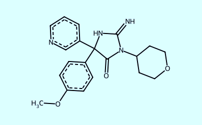 COc1ccc(C2(c3cccnc3)NC(=N)N(C3CCOCC3)C2=O)cc1